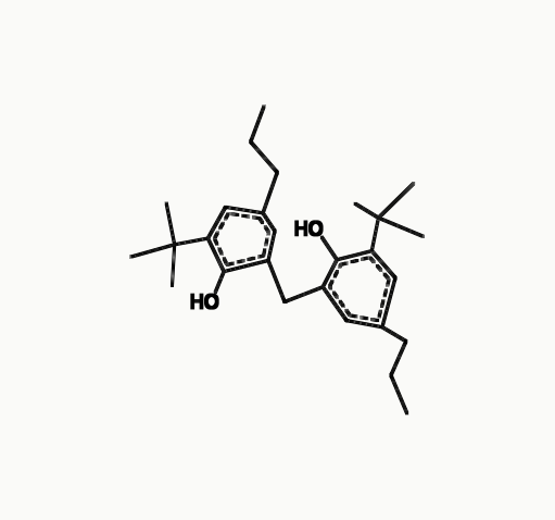 CCCc1cc(Cc2cc(CCC)cc(C(C)(C)C)c2O)c(O)c(C(C)(C)C)c1